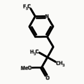 COC(=O)C(C)(C)Cc1ccc(C(F)(F)F)nc1